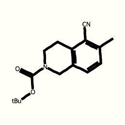 Cc1ccc2c(c1C#N)CCN(C(=O)OC(C)(C)C)C2